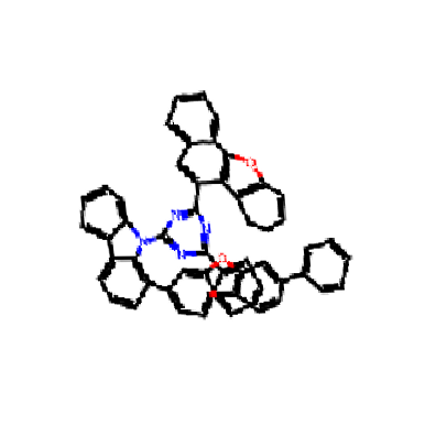 C1=Cc2oc3c(c(-c4nc(-c5ccccc5)nc(-n5c6ccccc6c6cccc(-c7ccc8c(c7)oc7cc(-c9ccccc9)ccc78)c65)n4)cc4ccccc43)c2CC1